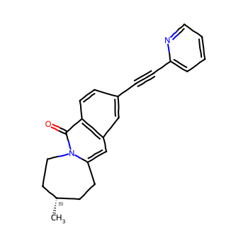 C[C@H]1CCc2cc3cc(C#Cc4ccccn4)ccc3c(=O)n2CC1